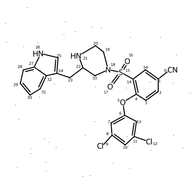 N#Cc1ccc(Oc2cc(Cl)cc(Cl)c2)c(S(=O)(=O)N2CCNC(Cc3c[nH]c4ccccc34)C2)c1